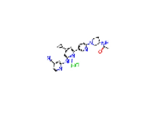 CC(=O)N[C@H]1CCN(c2ccc(-c3cc(C4CC4)cc(Nc4cc(C#N)ccn4)n3)cn2)C1.Cl